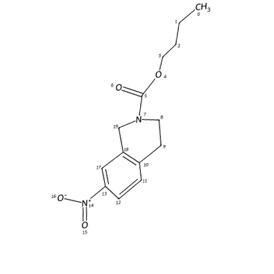 CCCCOC(=O)N1CCc2ccc([N+](=O)[O-])cc2C1